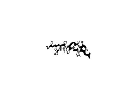 COC(=O)N[C@@H](CC/C=C/C(=O)N(C)C)C(=O)Nc1ccc(CO)n(Cc2nc3c(F)cnc(CC(C)C)c3[nH]2)c1=O